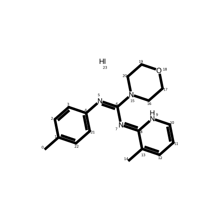 Cc1ccc(N=C(N=c2[nH]cccc2C)N2CCOCC2)cc1.I